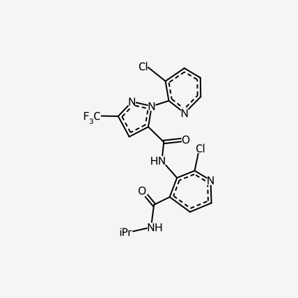 CC(C)NC(=O)c1ccnc(Cl)c1NC(=O)c1cc(C(F)(F)F)nn1-c1ncccc1Cl